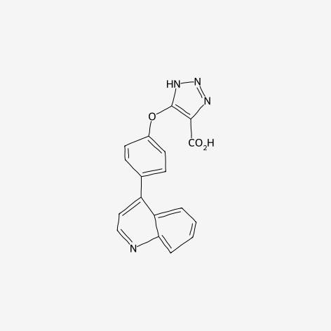 O=C(O)c1nn[nH]c1Oc1ccc(-c2ccnc3ccccc23)cc1